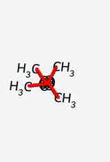 CCCCCCCCCCCCCOC(=O)c1cc(C(=O)OCCCCCCCCCCCCC)c(C(=O)OCCCCCCCCCCCCC)cc1C(=O)OCCCCCCCCCCCCC